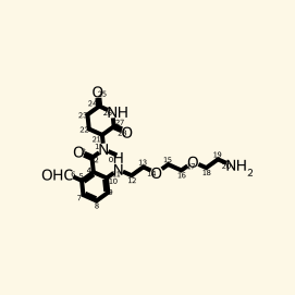 CN(C(=O)c1c(C=O)cccc1NCCOCCOCCN)C1CCC(=O)NC1=O